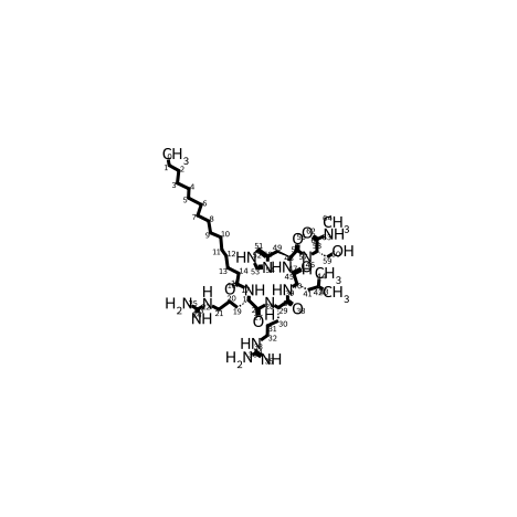 CCCCCCCCCCCCCCCC(=O)N[C@@H](CCCNC(=N)N)C(=O)N[C@@H](CCCNC(=N)N)C(=O)N[C@@H](CC(C)C)C(=O)N[C@@H](Cc1c[nH]cn1)C(=O)N[C@@H](CO)C(=O)NC